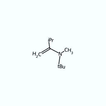 C=C(C(C)C)N(C)C(C)(C)C